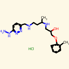 Cc1ccccc1OCC(O)CNC(C)CCNCc1ccc(NN)nn1.Cl